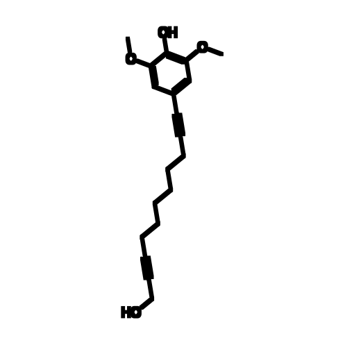 COc1cc(C#CCCCCCCC#CCO)cc(OC)c1O